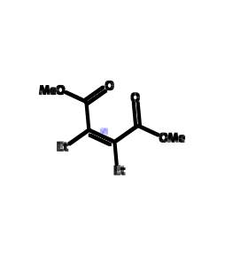 CC/C(C(=O)OC)=C(\CC)C(=O)OC